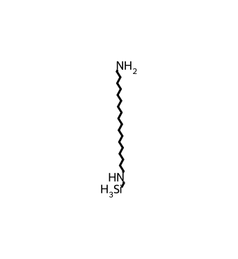 NCCCCCCCCCCCCCCCCCCNC[SiH3]